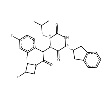 CC(C)C[C@@H]1C(=O)N[C@H](C2Cc3ccccc3C2)C(=O)N1C(C(=O)N1CC(F)C1)c1ccc(F)cc1F